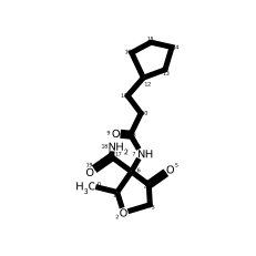 CC1OCC(=O)C1(NC(=O)[CH]CC1CCCC1)C(N)=O